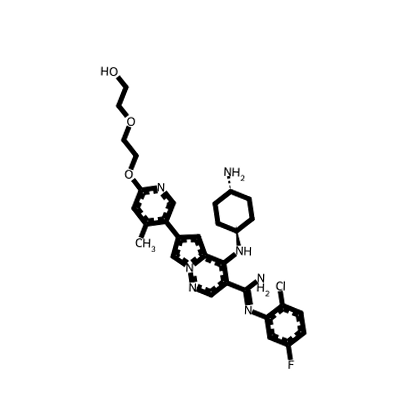 Cc1cc(OCCOCCO)ncc1-c1cc2c(N[C@H]3CC[C@H](N)CC3)c(/C(N)=N/c3cc(F)ccc3Cl)cnn2c1